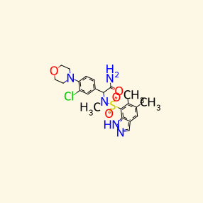 Cc1cc2cn[nH]c2c(S(=O)(=O)N(C)C(C(N)=O)c2ccc(N3CCOCC3)c(Cl)c2)c1C